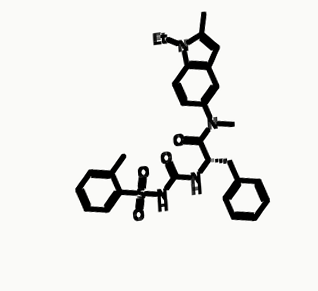 CCn1c(C)cc2cc(N(C)C(=O)[C@H](Cc3ccccc3)NC(=O)NS(=O)(=O)c3ccccc3C)ccc21